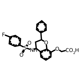 O=C(O)COc1cccc2c1OC(c1ccccc1)CC2NS(=O)(=O)c1ccc(F)cc1